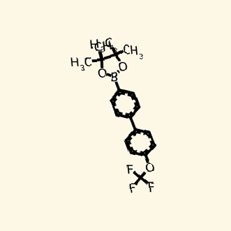 CC1(C)OB(c2ccc(-c3ccc(OC(F)(F)F)cc3)cc2)OC1(C)C